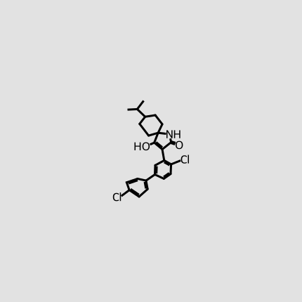 CC(C)C1CCC2(CC1)NC(=O)C(c1cc(-c3ccc(Cl)cc3)ccc1Cl)=C2O